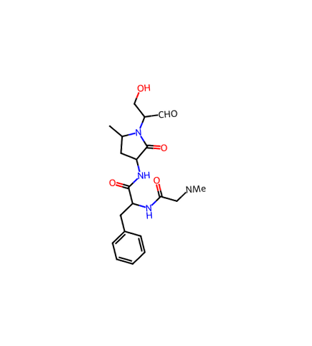 CNCC(=O)NC(Cc1ccccc1)C(=O)NC1CC(C)N(C(C=O)CO)C1=O